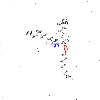 CCCC=CCCCOC(=CCCCCCC)NCCC=CCCCC